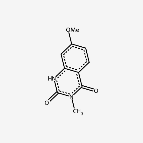 COc1ccc2c(=O)n(C)c(=O)[nH]c2c1